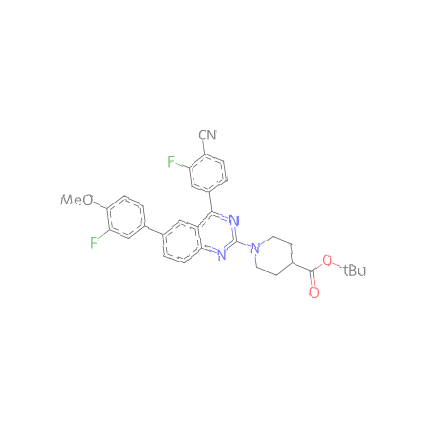 COc1ccc(-c2ccc3nc(N4CCC(C(=O)OC(C)(C)C)CC4)nc(-c4ccc(C#N)c(F)c4)c3c2)cc1F